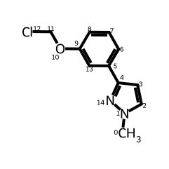 Cn1ccc(-c2cccc(OCCl)c2)n1